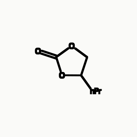 CCCC1COC(=O)O1